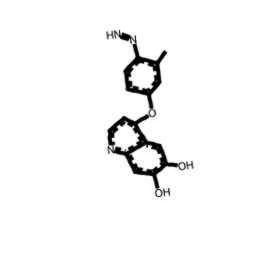 Cc1cc(Oc2ccnc3cc(O)c(O)cc23)ccc1N=N